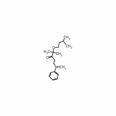 CC(C)CCOC(C)(C)C(=O)CCN(C)c1ccccc1